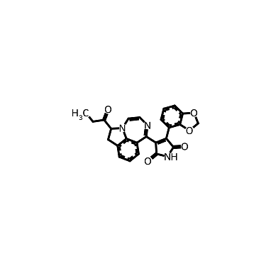 CCC(=O)C1Cc2cccc3c2N1C=CN=C3C1=C(c2cccc3c2OCO3)C(=O)NC1=O